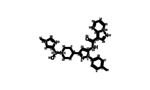 Cc1ccc(-n2nc(C3CCN([S+]([O-])c4cn(C)cn4)CC3)cc2NC(=O)c2cnn3cccnc23)cc1